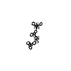 c1ccc(-c2nc(-c3ccccc3)nc(-c3ccc4c(c3)c3ccccc3n4-c3cnc4sc5ccc(-n6c7ccccc7c7ccccc76)cc5c4c3)n2)cc1